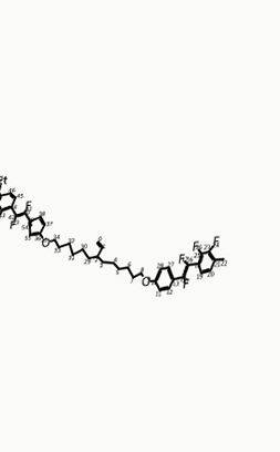 C=CC(CCCCCCOc1ccc(/C(F)=C(\F)c2ccc(C)c(F)c2F)cc1)CCCCCCOc1ccc(/C(F)=C(\F)c2ccc(OCC)c(F)c2F)cc1